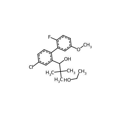 CCO.COc1ccc(F)c(-c2ccc(Cl)cc2C(O)C(C)(C)C)c1